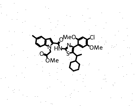 COC(=O)Cn1c(C(=O)Nc2nc(-c3cc(OC)c(Cl)cc3OC)c(C(C)C3CCCCC3)s2)cc2cc(C)ccc21